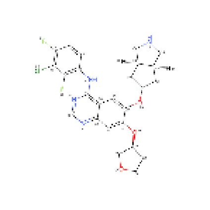 Fc1ccc(Nc2ncnc3cc(O[C@H]4CCOC4)c(OC4C[C@H]5CNC[C@H]5C4)cc23)c(F)c1Cl